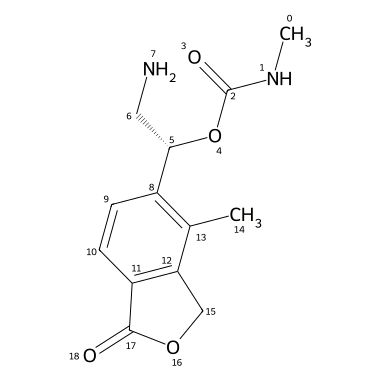 CNC(=O)O[C@@H](CN)c1ccc2c(c1C)COC2=O